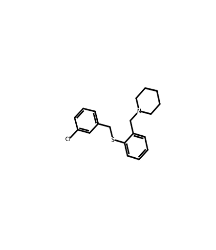 Clc1cccc(CSc2ccccc2CN2CCCCC2)c1